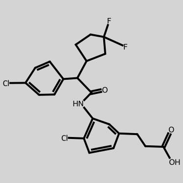 O=C(O)CCc1ccc(Cl)c(NC(=O)C(c2ccc(Cl)cc2)C2CCC(F)(F)C2)c1